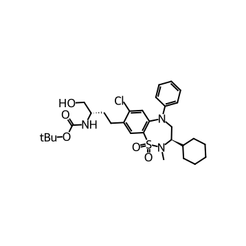 CN1[C@H](C2CCCCC2)CN(c2ccccc2)c2cc(Cl)c(CC[C@@H](CO)NC(=O)OC(C)(C)C)cc2S1(=O)=O